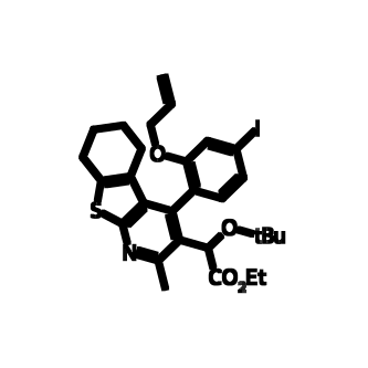 C=CCOc1cc(I)ccc1-c1c(C(OC(C)(C)C)C(=O)OCC)c(C)nc2sc3c(c12)CCCC3